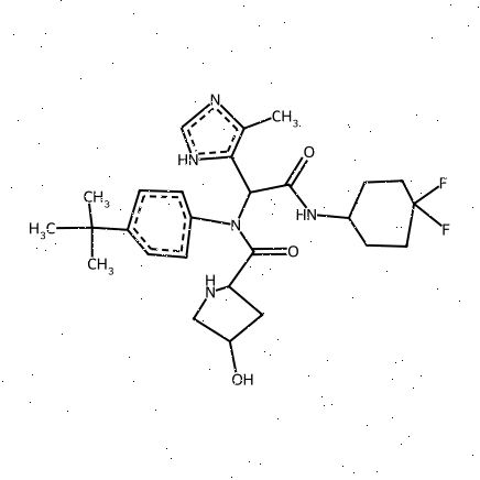 Cc1nc[nH]c1C(C(=O)NC1CCC(F)(F)CC1)N(C(=O)C1CC(O)CN1)c1ccc(C(C)(C)C)cc1